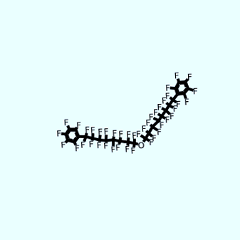 Fc1c(F)c(F)c(C(F)(F)C(F)(F)C(F)(F)C(F)(F)C(F)(F)C(F)(F)C(F)(F)C(F)(F)OC(F)(F)C(F)(F)C(F)(F)C(F)(F)C(F)(F)C(F)(F)C(F)(F)C(F)(F)c2c(F)c(F)c(F)c(F)c2F)c(F)c1F